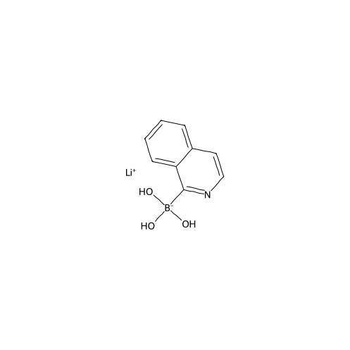 O[B-](O)(O)c1nccc2ccccc12.[Li+]